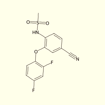 CS(=O)(=O)Nc1ccc(C#N)cc1Oc1ccc(F)cc1F